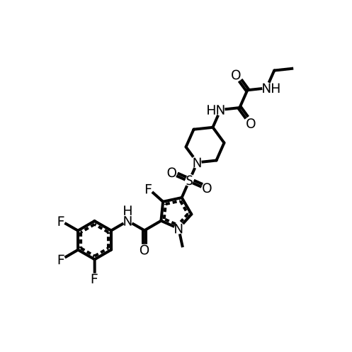 CCNC(=O)C(=O)NC1CCN(S(=O)(=O)c2cn(C)c(C(=O)Nc3cc(F)c(F)c(F)c3)c2F)CC1